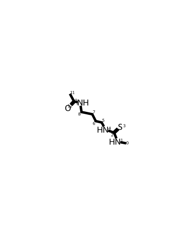 CNC(=S)NCCCCNC(C)=O